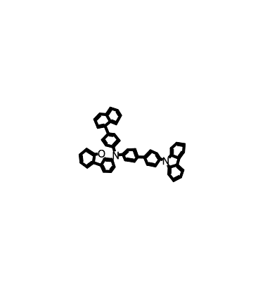 c1ccc2c(-c3ccc(N(c4ccc(-c5ccc(-n6c7ccccc7c7ccccc76)cc5)cc4)c4cccc5c4oc4ccccc45)cc3)cccc2c1